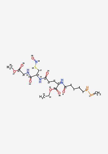 C=PPCCCCC(=O)NC(CCC(=O)NC(CSN=O)C(=O)NCC(=O)OC)C(=O)OCC